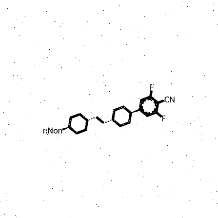 CCCCCCCCC[C@H]1CC[C@H](CC[C@H]2CC[C@H](c3cc(F)c(C#N)c(F)c3)CC2)CC1